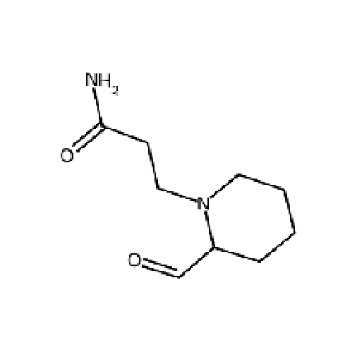 NC(=O)CCN1CCCCC1C=O